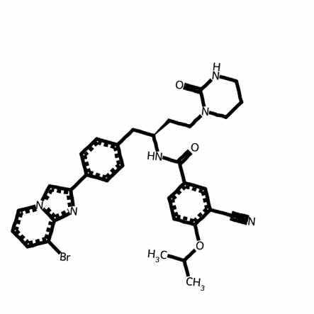 CC(C)Oc1ccc(C(=O)N[C@H](CCN2CCCNC2=O)Cc2ccc(-c3cn4cccc(Br)c4n3)cc2)cc1C#N